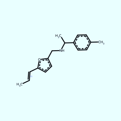 C/C=C/c1ccc(CNC(C)c2ccc(C)cc2)o1